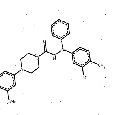 CCc1cc(N(NC(=O)N2CCN(c3cccc(OC)c3)CC2)c2ccccc2)cnc1C